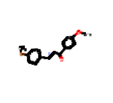 COc1ccc(C(=O)/C=C/c2ccc(SC)cc2)cc1